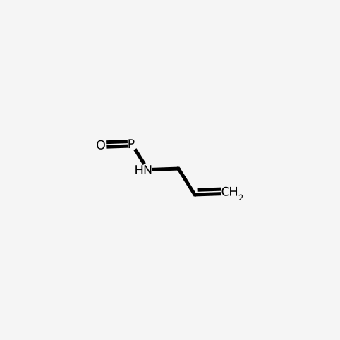 C=CCNP=O